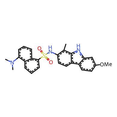 COc1ccc2c(c1)[nH]c1c(C)c(NS(=O)(=O)c3cccc4c(N(C)C)cccc34)ccc12